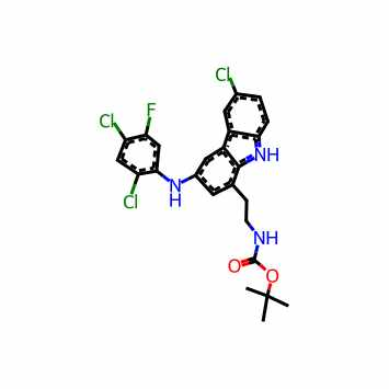 CC(C)(C)OC(=O)NCCc1cc(Nc2cc(F)c(Cl)cc2Cl)cc2c1[nH]c1ccc(Cl)cc12